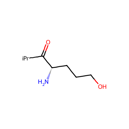 CC(C)C(=O)[C@@H](N)CCCO